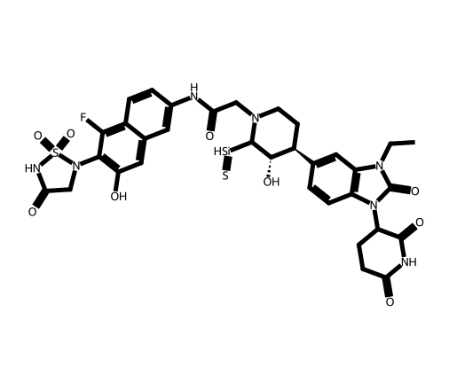 CCn1c(=O)n(C2CCC(=O)NC2=O)c2ccc([C@@H]3CCN(CC(=O)Nc4ccc5c(F)c(N6CC(=O)NS6(=O)=O)c(O)cc5c4)C([SiH]=S)[C@H]3O)cc21